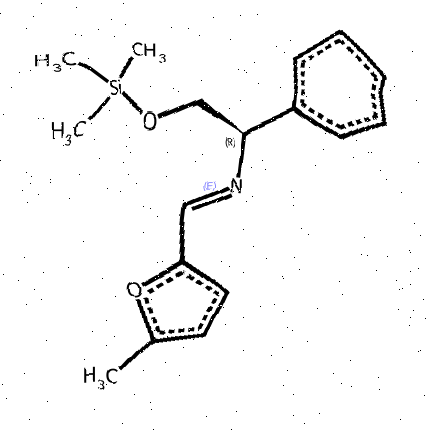 Cc1ccc(/C=N/[C@@H](CO[Si](C)(C)C)c2ccccc2)o1